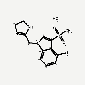 CS(=O)(=O)c1cn(CC2=NCCN2)c2cccc(Cl)c12.Cl